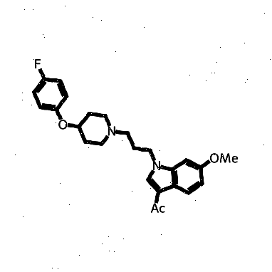 COc1ccc2c(C(C)=O)cn(CCCN3CCC(Oc4ccc(F)cc4)CC3)c2c1